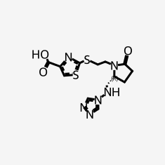 O=C(O)c1csc(SCCN2C(=O)CC[C@@H]2CNn2cnnc2)n1